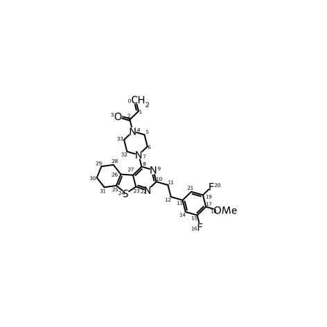 C=CC(=O)N1CCN(c2nc(CCc3cc(F)c(OC)c(F)c3)nc3sc4c(c23)CCCC4)CC1